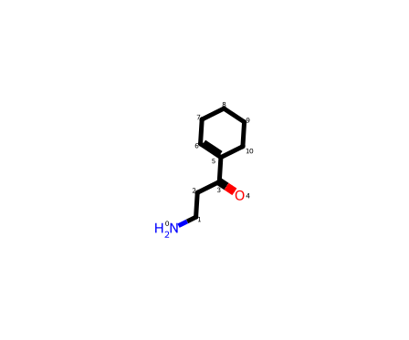 NCCC(=O)C1=CCCCC1